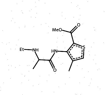 CCNC(C)C(=O)Nc1c(C)csc1C(=O)OC